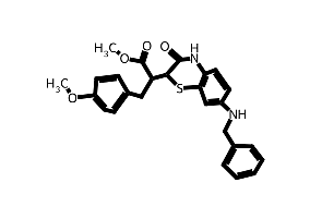 COC(=O)C(Cc1ccc(OC)cc1)C1Sc2cc(NCc3ccccc3)ccc2NC1=O